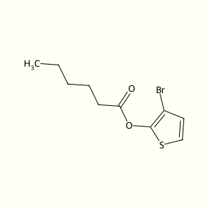 CCCCCC(=O)Oc1sccc1Br